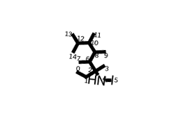 CCC(C)(NI)C(C)C(C)C(C)C(C)C